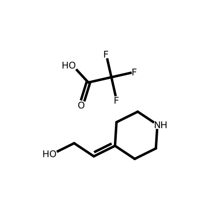 O=C(O)C(F)(F)F.OCC=C1CCNCC1